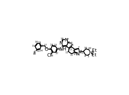 CC[N+]1(CC)CCC(n2cc3c(n2)CCc2c-3sc3ncnc(Nc4ccc(OCc5cccc(F)c5)c(Cl)c4)c23)CC1